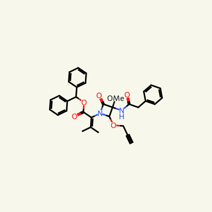 C#CCOC1N(C(C(=O)OC(c2ccccc2)c2ccccc2)=C(C)C)C(=O)C1(NC(=O)Cc1ccccc1)OC